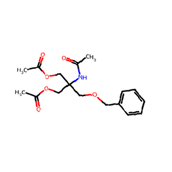 CC(=O)NC(COCc1ccccc1)(COC(C)=O)COC(C)=O